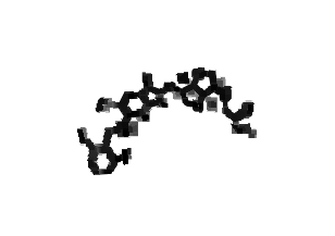 NC(=O)CO[C@@H]1CO[C@H]2[C@@H]1OC[C@H]2Oc1nc2nc(NCc3c(F)cccc3F)c(Cl)cc2[nH]1